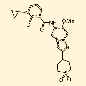 COc1cc2nc(C3CCS(=O)(=O)CC3)cn2cc1NC(=O)c1cccn(C2CC2)c1=O